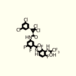 O=C(Nc1ccc(F)c(NC(O)C(F)(F)F)c1F)c1cc(NC(=O)[C@H]2[C@H](c3cc(Cl)cc(Cl)c3)C2(Cl)Cl)cc(F)c1F